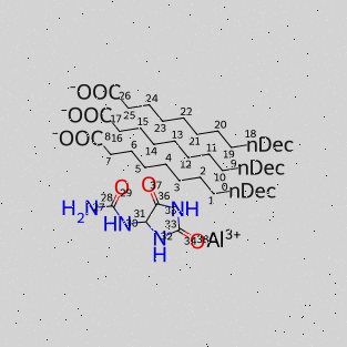 CCCCCCCCCCCCCCCCCC(=O)[O-].CCCCCCCCCCCCCCCCCC(=O)[O-].CCCCCCCCCCCCCCCCCC(=O)[O-].NC(=O)NC1NC(=O)NC1=O.[Al+3]